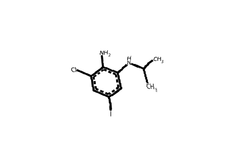 CC(C)Nc1cc(I)cc(Cl)c1N